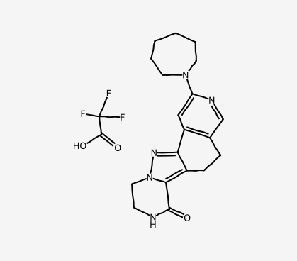 O=C(O)C(F)(F)F.O=C1NCCn2nc3c(c21)CCc1cnc(N2CCCCCC2)cc1-3